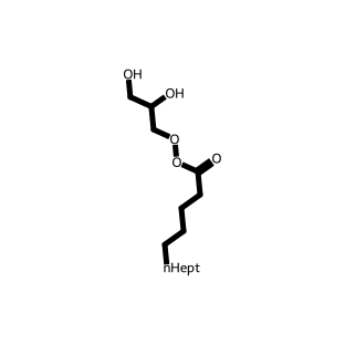 CCCCCCCCCCCC(=O)OOCC(O)CO